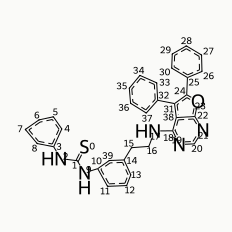 S=C(Nc1ccccc1)Nc1cccc(CCNc2ncnc3oc(-c4ccccc4)c(-c4ccccc4)c23)c1